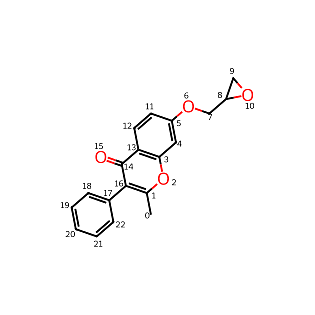 Cc1oc2cc(OCC3CO3)ccc2c(=O)c1-c1ccccc1